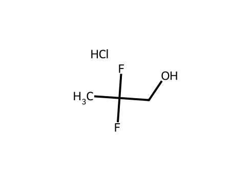 CC(F)(F)CO.Cl